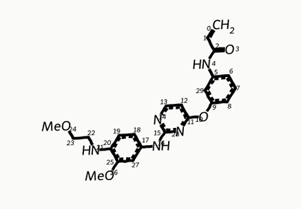 C=CC(=O)Nc1cccc(Oc2ccnc(Nc3ccc(NCCOC)c(OC)c3)n2)c1